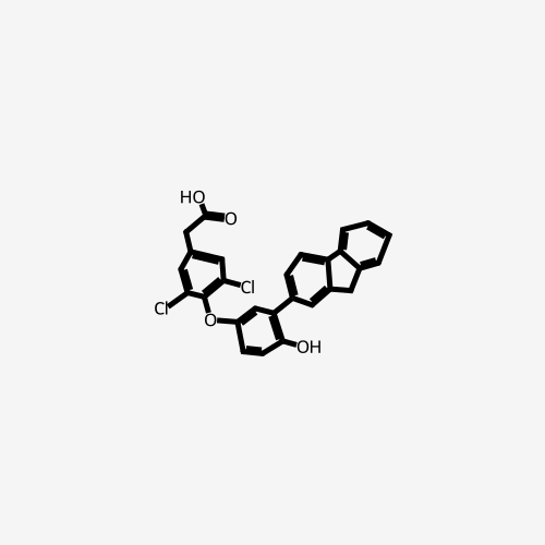 O=C(O)Cc1cc(Cl)c(Oc2ccc(O)c(-c3ccc4c(c3)Cc3ccccc3-4)c2)c(Cl)c1